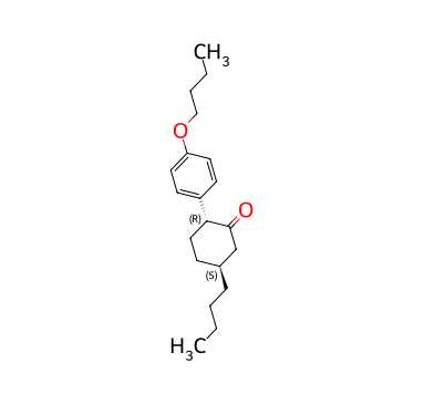 CCCCOc1ccc([C@H]2CC[C@H](CCCC)CC2=O)cc1